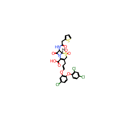 O=C(Cc1cccs1)NC1C(=O)N2C(C(=O)O)=C(CC=COc3cc(Cl)ccc3Oc3ccc(Cl)cc3Cl)CS(=O)(=O)[C@@H]12